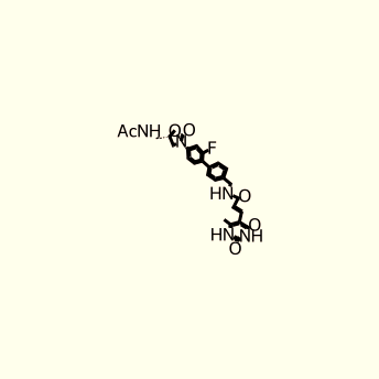 CC(=O)NC[C@H]1CN(c2ccc(-c3ccc(CNC(=O)C=Cc4c(C)[nH]c(=O)[nH]c4=O)cc3)c(F)c2)C(=O)O1